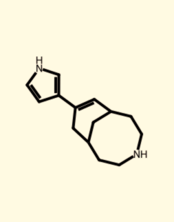 C1=C(c2cc[nH]c2)CC2CCNCCC1C2